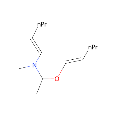 CCCC=COC(C)N(C)C=CCCC